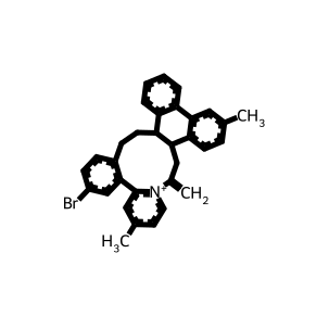 C=C1CC2c3ccc(C)cc3-c3ccccc3C2CCc2ccc(Br)cc2-c2cc(C)cc[n+]21